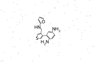 Nc1ccc(N)c(-c2cscc2CNc2ccco2)c1